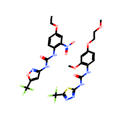 CCOc1ccc(NC(=O)Nc2cc(C(F)(F)F)on2)c([N+](=O)[O-])c1.COCCOc1ccc(NC(=O)Nc2nnc(C(F)(F)F)s2)c(OC)c1